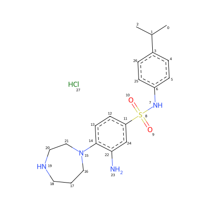 CC(C)c1ccc(NS(=O)(=O)c2ccc(N3CCCNCC3)c(N)c2)cc1.Cl